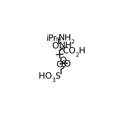 CC(C)[C@H](N)C(=O)N[C@H](CC(C)(C)COS(=O)(=O)CCCS(=O)(=O)O)C(=O)O